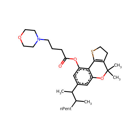 CCCCCC(C)C(C)c1cc(OC(=O)CCCN2CCOCC2)c2c(c1)OC(C)(C)C1=C2SCC1